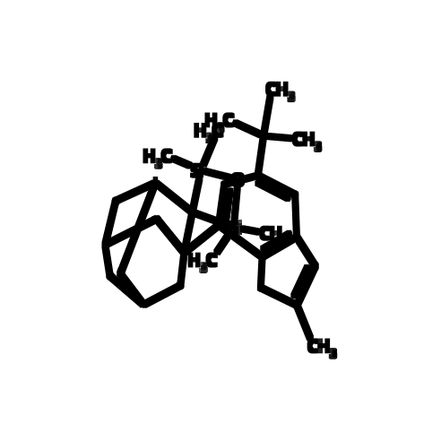 CC1=Cc2cc(C(C)(C)C)cc(C34CC5C[C](CC(C5)C3)C43[Si](C)(C)O[Si]3(C)C)c2C1